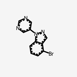 Brc1cccc2c1cnn2-c1cncnc1